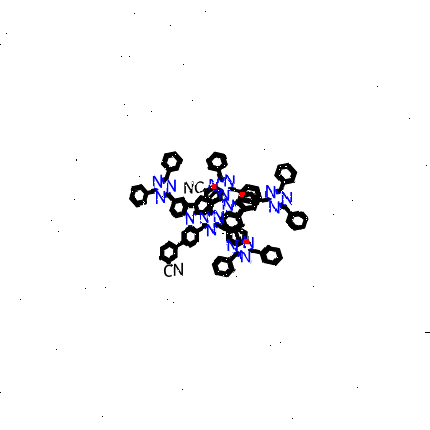 N#Cc1cccc(-c2ccc(-c3nc(-c4ccccc4)nc(-c4cc(C#N)ccc4-n4c5ccc(-c6nc(-c7ccccc7)nc(-c7ccccc7)n6)cc5c5cc(-c6nc(-c7ccccc7)nc(-c7ccccc7)n6)ccc54)n3)c(-n3c4ccc(-c5nc(-c6ccccc6)nc(-c6ccccc6)n5)cc4c4cc(-c5nc(-c6ccccc6)nc(-c6ccccc6)n5)ccc43)c2)c1